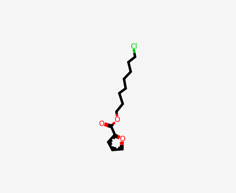 O=C(OCCCCCCCCCl)c1ccco1